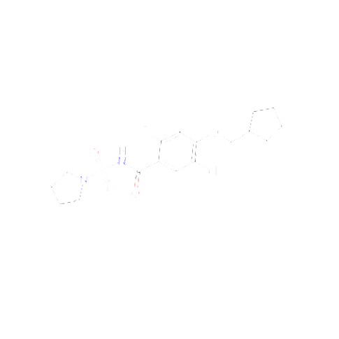 C[C@H]1CCCN1S(=O)(=O)NC(=O)c1cc(Cl)c(OCC2CCCC2)cc1F